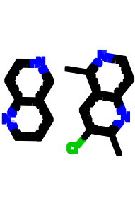 Cc1nc2ccnc(C)c2cc1Cl.c1cnc2ccncc2c1